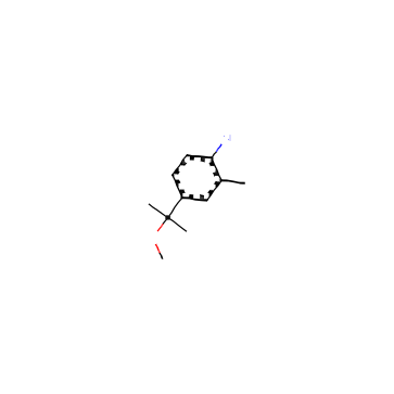 COC(C)(C)c1ccc(N)c(C)c1